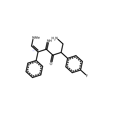 CN/C=C(\C(=N)C(=O)C(CN)c1ccc(F)cc1)c1ccccc1